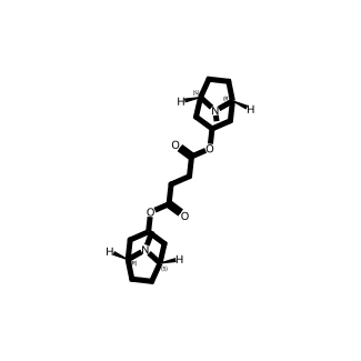 CN1[C@@H]2CC[C@H]1CC(OC(=O)CCC(=O)OC1C[C@H]3CC[C@@H](C1)N3C)C2